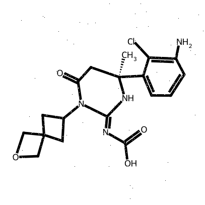 C[C@@]1(c2cccc(N)c2Cl)CC(=O)N(C2CC3(COC3)C2)/C(=N/C(=O)O)N1